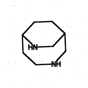 C1CC2CCC(CN1)CN2